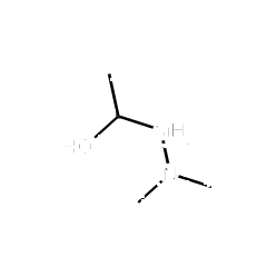 CC(O)[SiH2]N(C)C